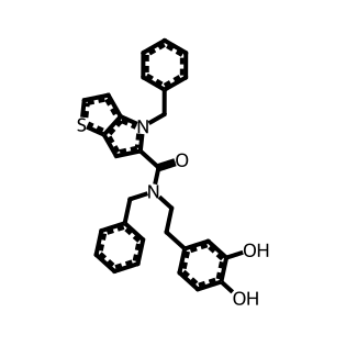 O=C(c1cc2sccc2n1Cc1ccccc1)N(CCc1ccc(O)c(O)c1)Cc1ccccc1